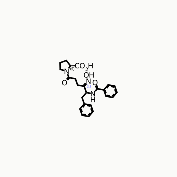 O=C(NC(Cc1ccccc1)/C(CCC(=O)N1CCC[C@H]1C(=O)O)=N/O)c1ccccc1